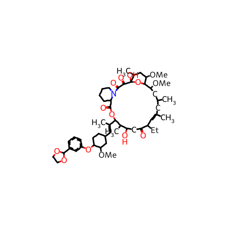 CCC1/C=C(\C)CC(C)CC(OC)C2OC(O)(C(=O)C(=O)N3CCCCC3C(=O)OC(C(C)=CC3CCC(Oc4cccc(C5OCCO5)c4)C(OC)C3)C(C)C(O)CC1=O)C(C)CC2OC